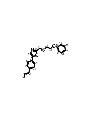 CC=Cc1ccc(-c2cnc(CSCCOc3ccccc3)o2)cc1